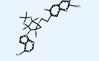 CC1(C)O[C@H]2[C@H](n3ccc4c(N)ncnc43)[C@H]3C[C@@]3(CCc3cc4nc(N)c(Cl)cc4cc3F)[C@H]2O1